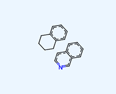 c1ccc2c(c1)CCCC2.c1ccc2cnccc2c1